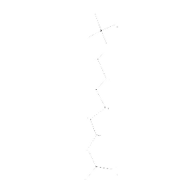 CC(C)(C)OCCCCCC[SiH2]C(Cl)Cl